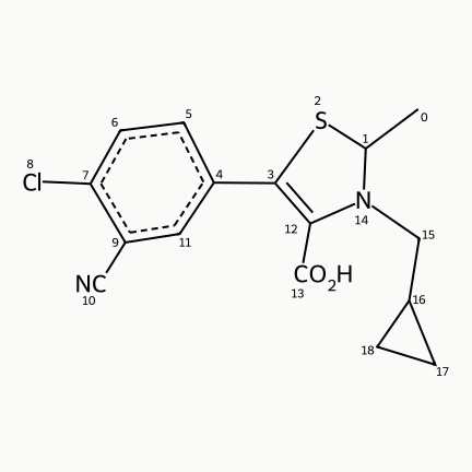 CC1SC(c2ccc(Cl)c(C#N)c2)=C(C(=O)O)N1CC1CC1